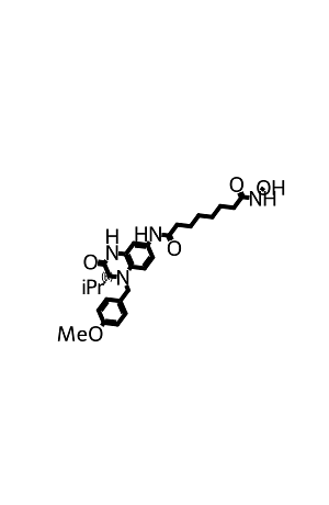 COc1ccc(CN2c3ccc(NC(=O)CCCCCCC(=O)NO)cc3NC(=O)[C@H]2C(C)C)cc1